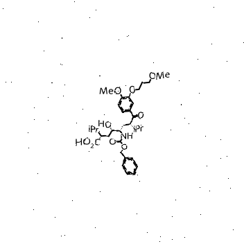 COCCCOc1cc(C(=O)[C@@H](C[C@H](NC(=O)OCc2ccccc2)[C@@H](O)C[C@H](C(=O)O)C(C)C)C(C)C)ccc1OC